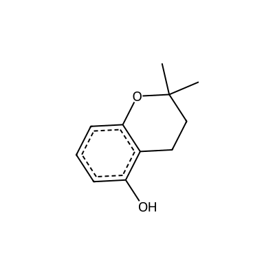 CC1(C)CCc2c(O)cccc2O1